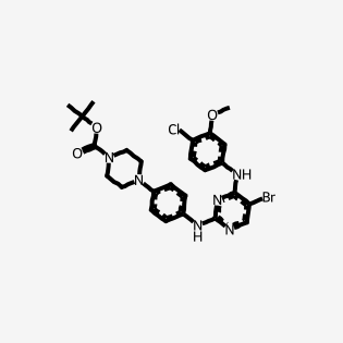 COc1cc(Nc2nc(Nc3ccc(N4CCN(C(=O)OC(C)(C)C)CC4)cc3)ncc2Br)ccc1Cl